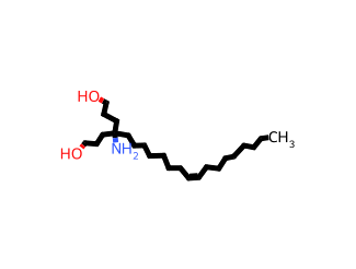 CCCCCCCC/C=C\CCCCCCCC(N)(CCCO)CCCO